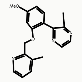 COc1ccc(-c2nccnc2C)c(OCc2ncccc2C)c1